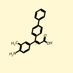 Cc1cc(/C(=C/C(=O)O)c2ccc(-c3ccccc3)cc2)ccc1N